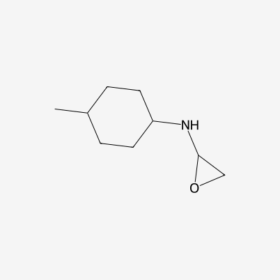 CC1CCC(NC2CO2)CC1